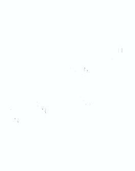 CSCC[C@H](N)C(=O)OC(=O)c1ccc(NS(=S)c2cccnc2)cc1-c1ccccc1